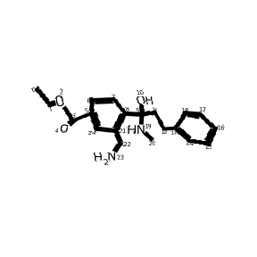 CCOC(=O)c1ccc(C(O)(CCc2ccccc2)NC)c(CN)c1